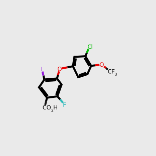 O=C(O)c1cc(I)c(Oc2ccc(OC(F)(F)F)c(Cl)c2)cc1F